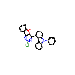 Clc1nc(-c2cccc3c2c2ccccc2n3-c2ccccc2)c2oc3ccccc3c2n1